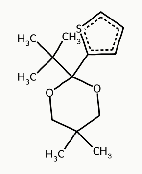 CC1(C)COC(c2cccs2)(C(C)(C)C)OC1